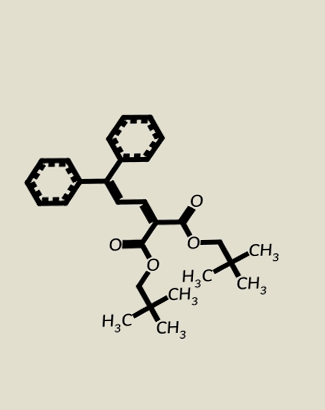 CC(C)(C)COC(=O)C(=CC=C(c1ccccc1)c1ccccc1)C(=O)OCC(C)(C)C